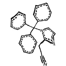 N#CCc1nccn1C(c1ccccc1)(c1ccccc1)c1ccccc1